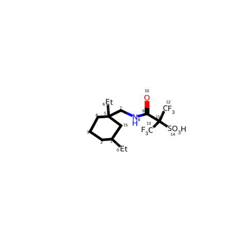 CCC1CCCC(CC)(CNC(=O)C(C(F)(F)F)(C(F)(F)F)S(=O)(=O)O)C1